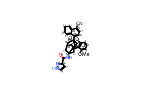 COc1cccc(OC)c1C12CC3CC(NC(=O)c4cc[nH]n4)(C1)C(C(=O)O)C(c1ccc(C#N)c4ccccc14)(C3)C2